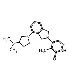 Cc1c(N2Cc3cccc(N4CCC(N(C)C)C4)c3C2)cn[nH]c1=O